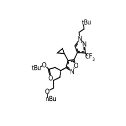 CCCCOCCC[C@@H](CC(=O)OC(C)(C)C)c1noc(-c2cn(CCC(C)(C)C)nc2C(F)(F)F)c1C1CC1